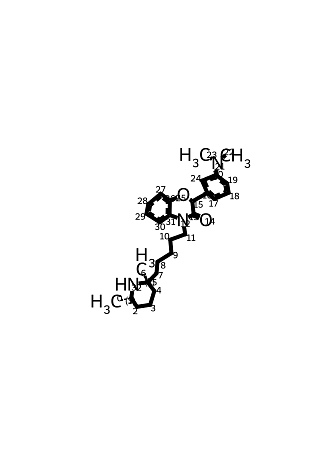 C[C@H]1CCC[C@@](C)(CCCCCN2C(=O)C(c3cccc(N(C)C)c3)Oc3ccccc32)N1